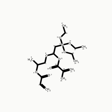 C=CC(=O)OC(C)COC(C[Si](OCC)(OCC)OCC)OC(=O)C(=C)C